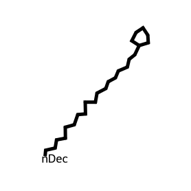 [CH2]CCCCCCCCCCCCCCCCCCCCCCCCCCCC1CCCCC1